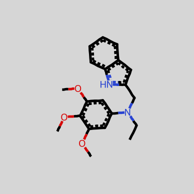 CCN(Cc1cc2ccccc2[nH]1)c1cc(OC)c(OC)c(OC)c1